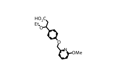 CCOC(CC(=O)O)c1ccc(OCc2cccc(OC)n2)cc1